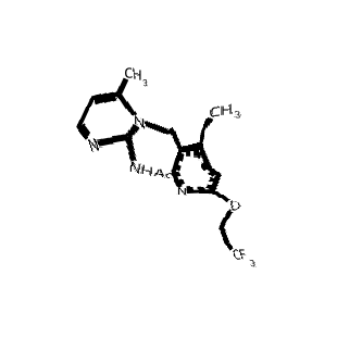 CC(=O)NC1N=CC=C(C)N1Cc1cnc(OCC(F)(F)F)cc1C